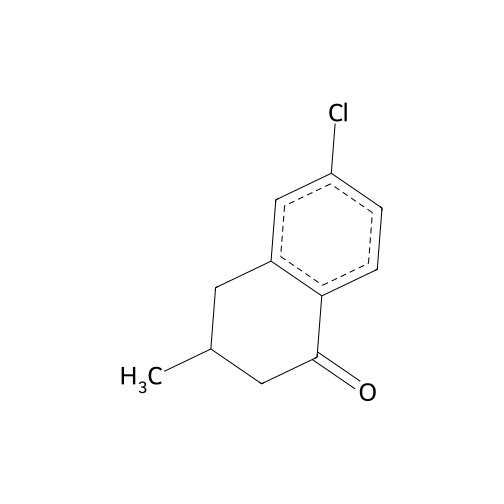 CC1CC(=O)c2ccc(Cl)cc2C1